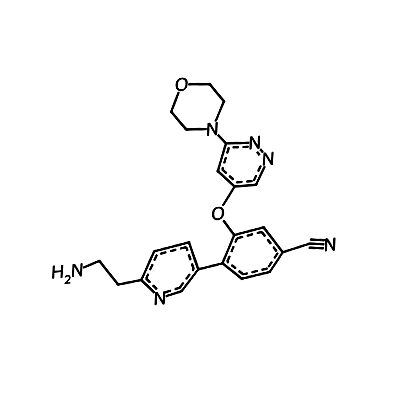 N#Cc1ccc(-c2ccc(CCN)nc2)c(Oc2cnnc(N3CCOCC3)c2)c1